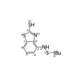 CC(C)(C)SNc1cccc2sc(S)nc12